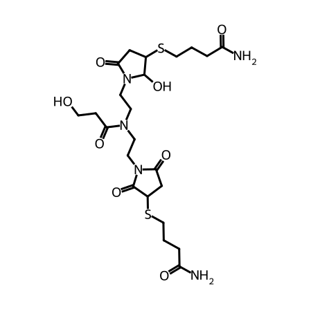 NC(=O)CCCSC1CC(=O)N(CCN(CCN2C(=O)CC(SCCCC(N)=O)C2O)C(=O)CCO)C1=O